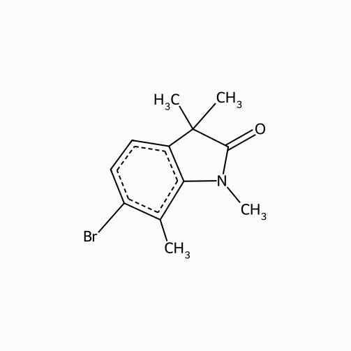 Cc1c(Br)ccc2c1N(C)C(=O)C2(C)C